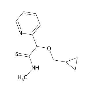 CNC(=S)C(OCC1CC1)c1ccccn1